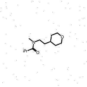 CC(C)C(=O)N(C)CCC1CCOCC1